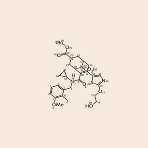 COc1cccc(CN(C(=O)C2=C(c3cnc(OCCO)s3)CC3CN(C(=O)OC(C)(C)C)C[C@H]2N3C(=O)O)C2CC2)c1C